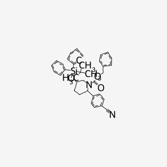 CC(C)(C)[Si](OC1CCC(c2ccc(C#N)cc2)N(C(=O)OCc2ccccc2)C1)(c1ccccc1)c1ccccc1